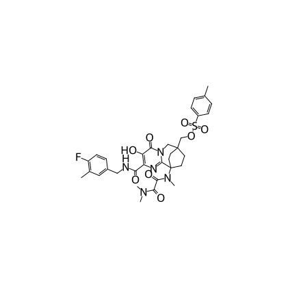 Cc1ccc(S(=O)(=O)OCC23CCC(N(C)C(=O)C(=O)N(C)C)(CC2)c2nc(C(=O)NCc4ccc(F)c(C)c4)c(O)c(=O)n2C3)cc1